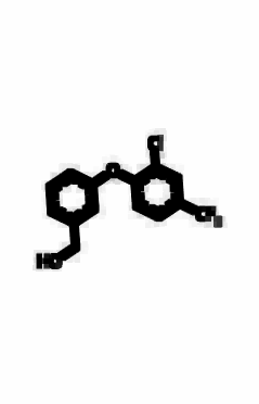 OCc1cccc(Oc2ccc(C(F)(F)F)cc2Cl)c1